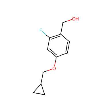 OCc1ccc(OCC2CC2)cc1F